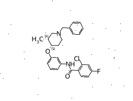 C[C@@H]1CN(Cc2ccccc2)CC[C@@H]1Oc1cccc(NC(=O)c2ccc(F)cc2Cl)c1